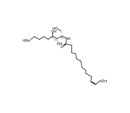 CCCCCCCC/C=C\CCCCCCCCCC(=O)N[C@@H](CO)[C@H](O)[C@H](O)CCCCCCCCCCCCCC